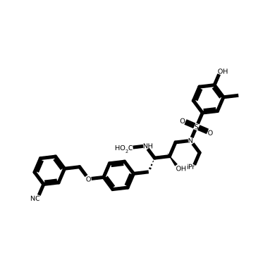 Cc1cc(S(=O)(=O)N(CC(C)C)C[C@@H](O)[C@H](Cc2ccc(OCc3cccc(C#N)c3)cc2)NC(=O)O)ccc1O